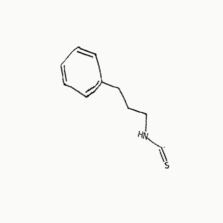 S=[C]NCCCc1ccccc1